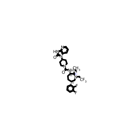 C/N=C1\[C@H](NC(=O)N2CCC(n3c(=O)[nH]c4ncccc43)CC2)CC[C@@H](c2cccc(F)c2F)CN1CC(F)(F)F